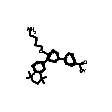 CC1(C)CCC(C)(C)c2cc(-c3cc(-c4ccc(C(=O)O)cc4)ccc3OCCCCN)ccc21